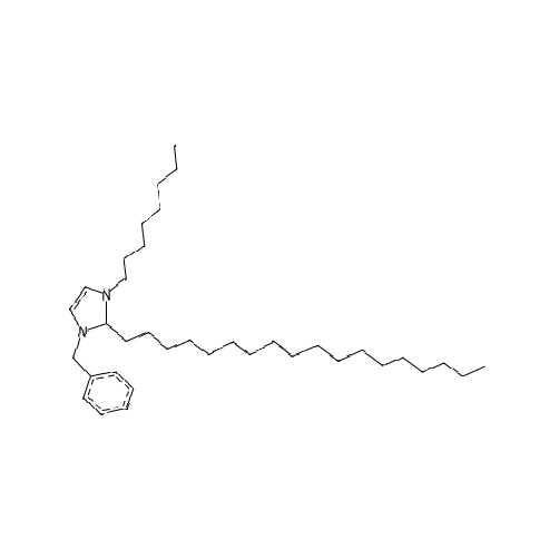 CCCCCCCCCCCCCCCCCCC1N(CCCCCCCC)C=CN1Cc1ccccc1